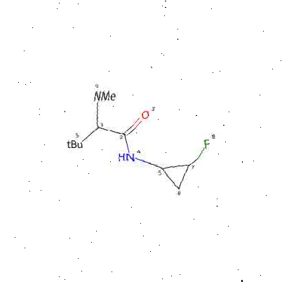 CNC(C(=O)NC1CC1F)C(C)(C)C